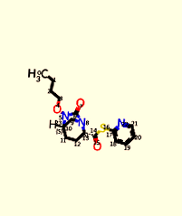 CCCCON1C(=O)N2C[C@@H]1CC[C@H]2C(=O)Sc1ccccn1